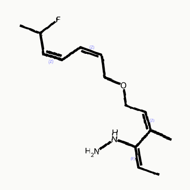 C/C=C(NN)\C(C)=C/COC/C=C\C=C/C(C)F